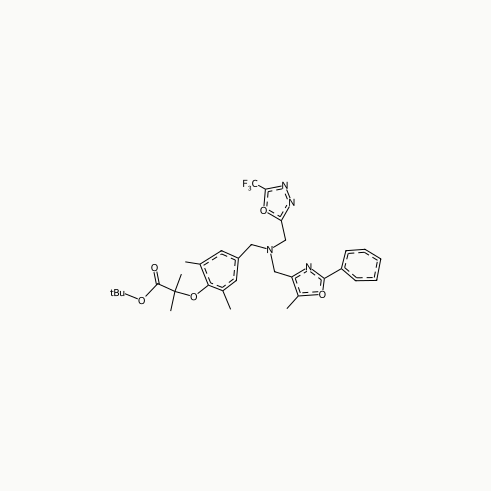 Cc1cc(CN(Cc2nnc(C(F)(F)F)o2)Cc2nc(-c3ccccc3)oc2C)cc(C)c1OC(C)(C)C(=O)OC(C)(C)C